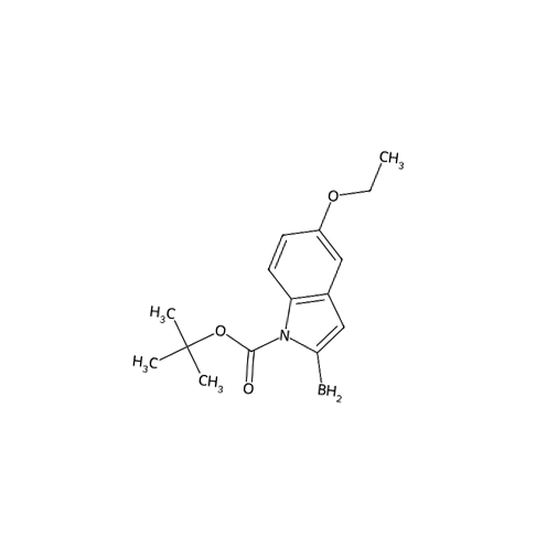 Bc1cc2cc(OCC)ccc2n1C(=O)OC(C)(C)C